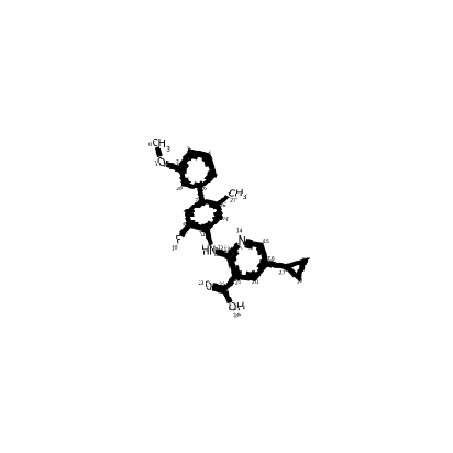 COc1cccc(-c2cc(F)c(Nc3ncc(C4CC4)cc3C(=O)O)cc2C)c1